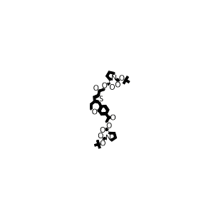 CC(C)(C)OC(=O)N1CCC[C@H]1C(=O)OCC(=O)c1ccc2c(c1)OCCc1cc(C(=O)COC(=O)[C@@H]3CCCN3C(=O)OC(C)(C)C)sc1-2